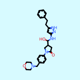 O=C1CC(C(O)Nc2cc(CCc3ccccc3)[nH]n2)CN1c1ccc(CN2CCOCC2)cc1